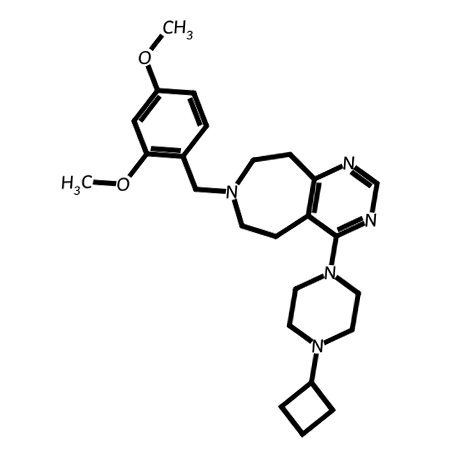 COc1ccc(CN2CCc3ncnc(N4CCN(C5CCC5)CC4)c3CC2)c(OC)c1